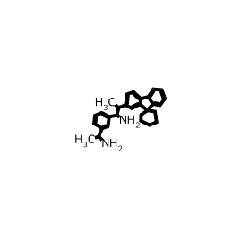 CC(N)c1cccc(C(N)C(C)c2ccc3c(c2)C2(CCCCC2)c2ccccc2-3)c1